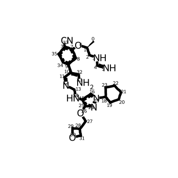 C[C@@H](CNC=N)Oc1cc(C(/C=N\CNc2cn(C3CCCCC3)nc2OCC2COC2)=C/N)ccc1C#N